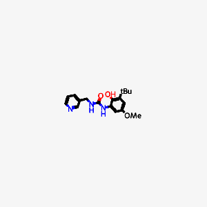 COc1cc(NC(=O)NCc2cccnc2)c(O)c(C(C)(C)C)c1